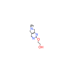 CC(C)N1Cc2cnc(OCCO)nc2C1